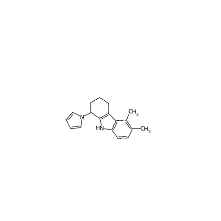 Cc1ccc2[nH]c3c(c2c1C)CCCC3n1cccc1